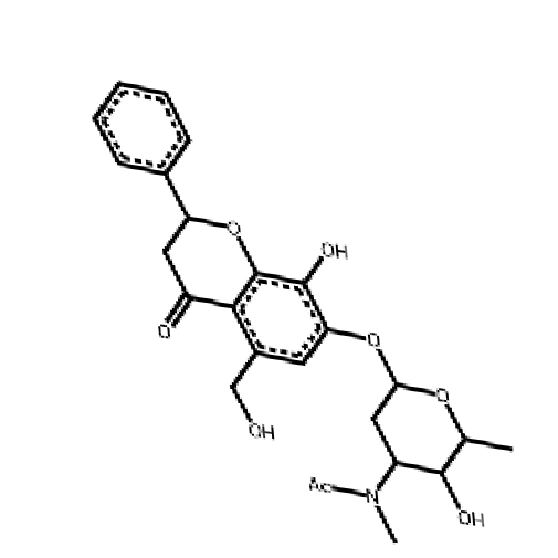 CC(=O)N(C)C1CC(Oc2cc(CO)c3c(c2O)OC(c2ccccc2)CC3=O)OC(C)C1O